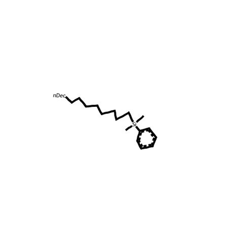 CCCCCCCCCCCCCCCCC[CH][Si](C)(C)c1ccccc1